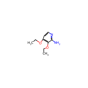 CCOc1ccnc(N)c1OCC